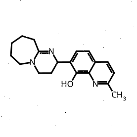 Cc1ccc2ccc(C3CCN4CCCCCC4=N3)c(O)c2n1